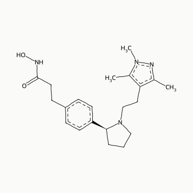 Cc1nn(C)c(C)c1CCN1CCC[C@H]1c1ccc(CCC(=O)NO)cc1